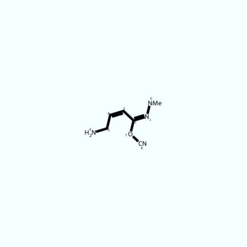 CN/N=C(\C=C/CN)OC#N